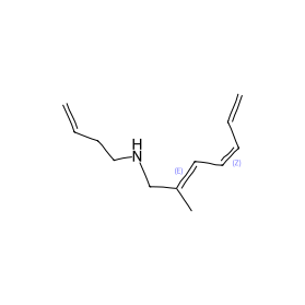 C=C/C=C\C=C(/C)CNCCC=C